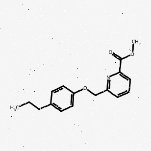 CCCc1ccc(OCc2cccc(C(=O)OC)n2)cc1